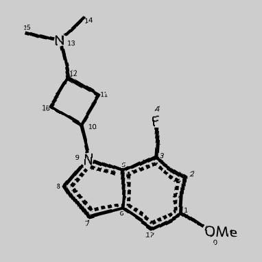 COc1cc(F)c2c(ccn2C2CC(N(C)C)C2)c1